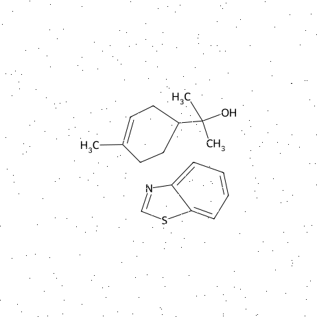 CC1=CCC(C(C)(C)O)CC1.c1ccc2scnc2c1